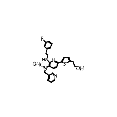 O=CN(Cc1cccnc1)c1ccc(-c2ccc(CCO)s2)nc1NCCc1cccc(F)c1